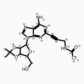 CC1(C)OC2C(CO)OC(n3cnc4c(N)nc(C#CCNC(=O)C(F)(F)F)nc43)C2O1